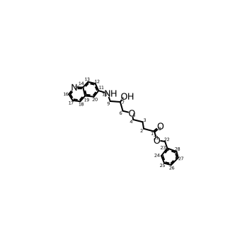 O=C(CCCOCC(O)CNc1ccc2ncccc2c1)OCc1ccccc1